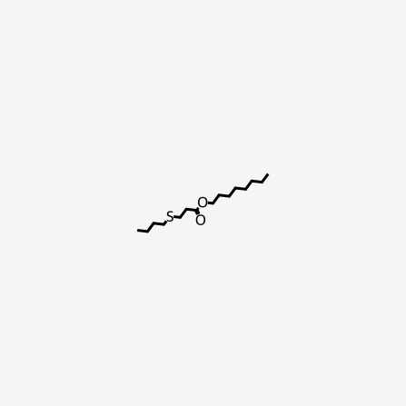 CCCCCCCCOC(=O)CCSCCCC